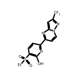 CCS(=O)(=O)c1ccc(-c2ccn3nc(C(F)(F)F)cc3n2)nc1O